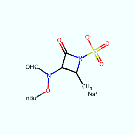 CCCCON(C=O)C1C(=O)N(S(=O)(=O)[O-])C1C.[Na+]